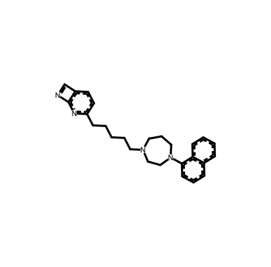 C1=Nc2nc(CCCCCN3CCCN(c4cccc5ccccc45)CC3)ccc21